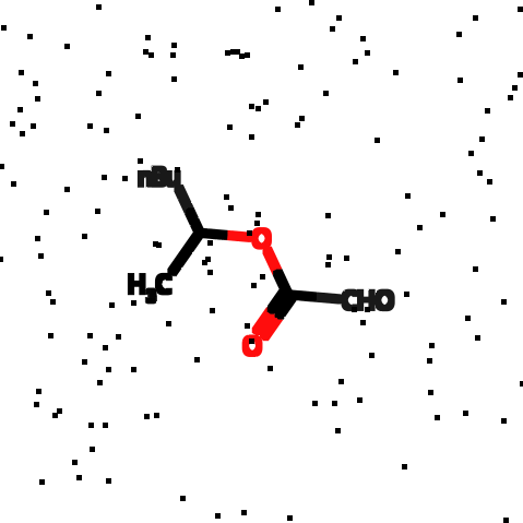 CCCCC(C)OC(=O)C=O